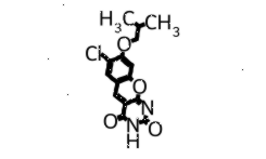 CC(C)COc1cc2oc3nc(=O)[nH]c(=O)c-3cc2cc1Cl